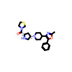 Cc1nc(C2CCN([C@@H]3CN[C@H](C(=O)N4CCSC4)C3)CC2)c(-c2ccccc2)o1